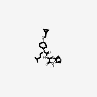 CC(C)CCN(C(=O)NC(Sc1cncs1)C(=O)O)[C@H]1CC[C@H](OCC2CC2)CC1